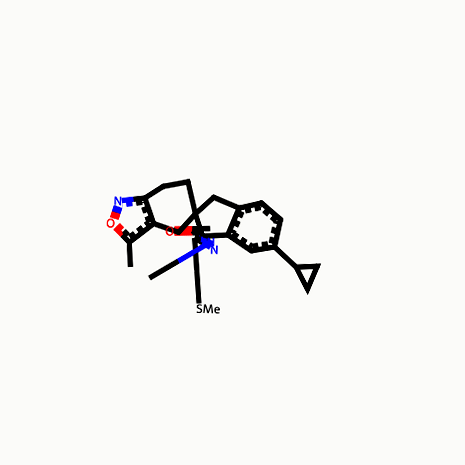 CSC1=NC2(C(=O)N1C)c1cc(C3CC3)ccc1CC21CCc2noc(C)c2C1